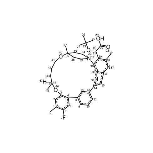 Cc1cc2c(cc1F)-c1cccc(c1)-c1cc3nc(C)c([C@H](OC(C)(C)C)C(=O)O)c(n3n1)N1CCC(C)(CC1)OCCC[C@H](C)O2